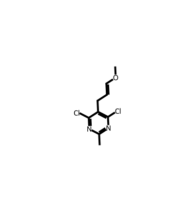 COC=CCc1c(Cl)nc(C)nc1Cl